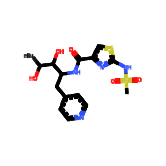 CCCCC(O)C(O)C(Cc1ccncc1)NC(=O)c1csc(NS(C)(=O)=O)n1